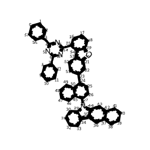 c1ccc(-c2nc(-c3ccccc3)nc(-c3cccc4oc5cc(-c6ccc(-n7c8ccccc8c8cc9ccccc9cc87)c7ccccc67)ccc5c34)n2)cc1